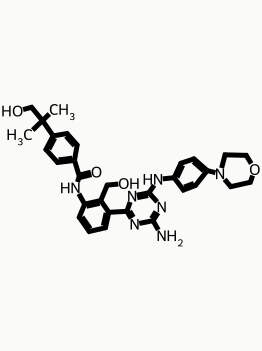 CC(C)(CO)c1ccc(C(=O)Nc2cccc(-c3nc(N)nc(Nc4ccc(N5CCOCC5)cc4)n3)c2CO)cc1